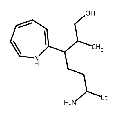 CCC(N)CCC(C1=CC=CC=CN1)C(C)CO